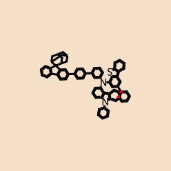 c1ccc(-c2cc(N(c3cccc(-c4ccc(-c5ccc6c(c5)C5(c7ccccc7-6)C6CC7CC(C6)CC5C7)cc4)c3)c3cccc4c3c3ccccc3n4-c3ccccc3)c3sc4ccccc4c3c2)cc1